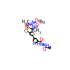 CN1/C(=N/C(=O)OC(C)(C)C)N[C@](C)(c2sc(-c3cncc(C(=O)NNC(=O)C4CC4)c3)cc2Cl)CS1(=O)=O